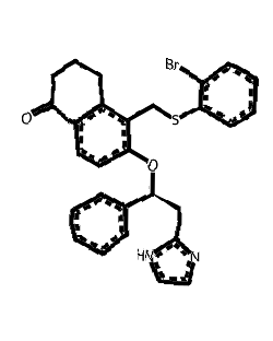 O=C1CCCc2c1ccc(O[C@@H](Cc1ncc[nH]1)c1ccccc1)c2CSc1ccccc1Br